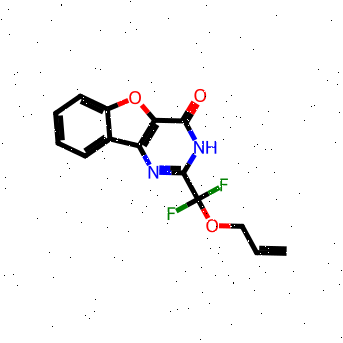 C=CCOC(F)(F)c1nc2c(oc3ccccc32)c(=O)[nH]1